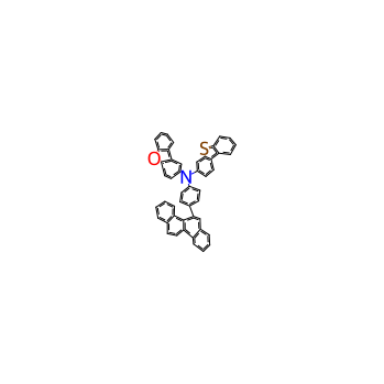 c1ccc2c(c1)cc(-c1ccc(N(c3ccc4c(c3)sc3ccccc34)c3ccc4oc5ccccc5c4c3)cc1)c1c3ccccc3ccc21